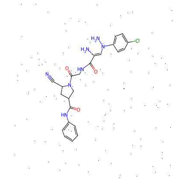 N#CC1CC(C(=O)Nc2ccccc2)CN1C(=O)CNC(=O)/C(N)=C/N(N)c1ccc(Cl)cc1